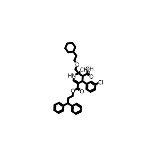 CC1(COCCC2CCCCC2)NC=C(C(=O)OCCC(c2ccccc2)c2ccccc2)C(c2cccc(Cl)c2)C1C(=O)O